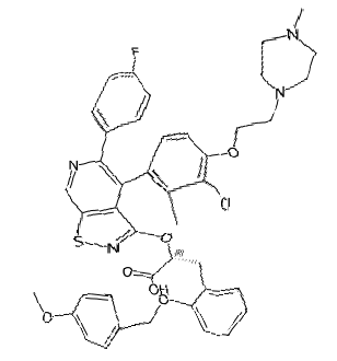 COc1ccc(COc2ccccc2C[C@@H](Oc2nsc3cnc(-c4ccc(F)cc4)c(-c4ccc(OCCN5CCN(C)CC5)c(Cl)c4C)c23)C(=O)O)cc1